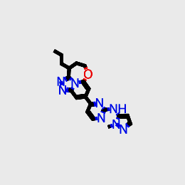 CCCC1CCOc2cc(-c3ccnc(Nc4ccnn4C)n3)cc3nnc1n23